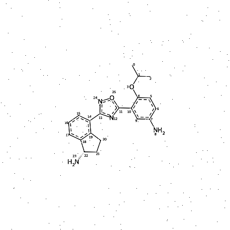 CC(C)Oc1ccc(N)cc1-c1nc(-c2cccc3c2CC[C@@H]3N)no1